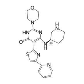 O=c1[nH]c(N2CCOCC2)nc(N[C@@H]2CCCNC2)c1-c1nc(-c2ccccn2)cs1